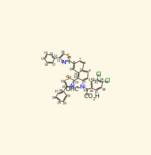 O=CN(c1ccc2ccc(-c3nc(-c4ccccc4)cs3)cc2c1-c1nc(-c2ccccc2)cs1)C(C(=O)O)c1ccc(Cl)c(Cl)c1